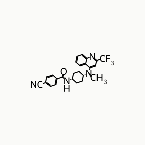 CN(c1cc(C(F)(F)F)nc2ccccc12)[C@H]1CC[C@@H](NC(=O)c2ccc(C#N)cc2)CC1